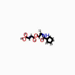 COC(=O)/C=C/C(=O)OC[C@H](C)NC(=O)C1CCCCC1